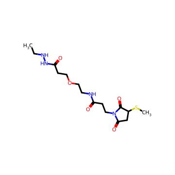 CCNNC(=O)CCOCCNC(=O)CCN1C(=O)CC(SC)C1=O